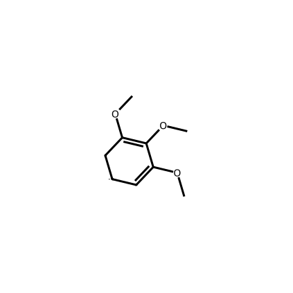 COC1=C[CH]CC(OC)=C1OC